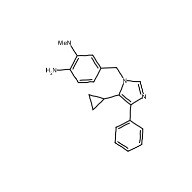 CNc1cc(Cn2cnc(-c3ccccc3)c2C2CC2)ccc1N